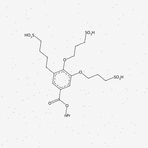 CCCOC(=O)c1cc(CCCCS(=O)(=O)O)c(OCCCS(=O)(=O)O)c(OCCCS(=O)(=O)O)c1